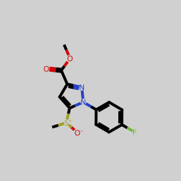 COC(=O)c1cc([S+](C)[O-])n(-c2ccc(F)cc2)n1